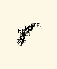 CCn1c(Nc2nc3ccc(OC(F)(F)F)cc3s2)nc2cc3c(cc21)C(F)(F)S3(=O)=O